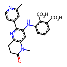 Cc1cc(-c2nc3c(cc2Nc2cccc(C(=O)O)c2C(=O)O)N(C)C(=O)CC3)ccn1